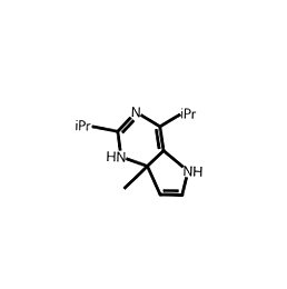 CC(C)C1=NC(C(C)C)=C2NC=CC2(C)N1